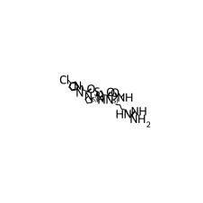 CNC(=O)[C@H](CCCCNC(=N)N)NC(=O)c1csc([C@@H]2CCCN2C(=O)c2cn3cc(Cl)ccc3n2)n1